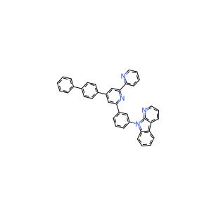 c1ccc(-c2ccc(-c3cc(-c4cccc(-n5c6ccccc6c6cccnc65)c4)nc(-c4ccccn4)c3)cc2)cc1